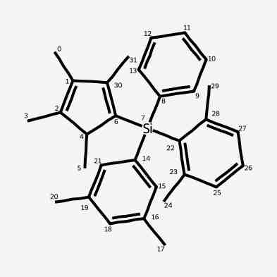 CC1=C(C)C(C)C([Si](c2ccccc2)(c2cc(C)cc(C)c2)c2c(C)cccc2C)=C1C